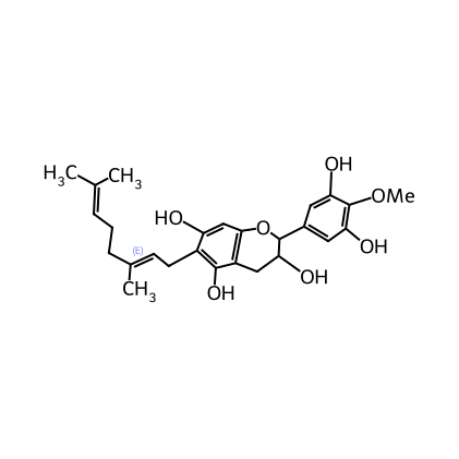 COc1c(O)cc(C2Oc3cc(O)c(C/C=C(\C)CCC=C(C)C)c(O)c3CC2O)cc1O